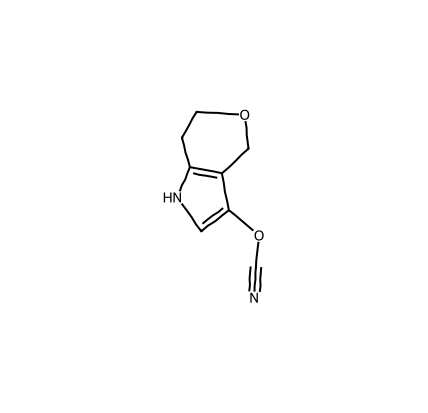 N#COc1c[nH]c2c1COCC2